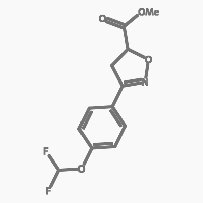 COC(=O)C1CC(c2ccc(OC(F)F)cc2)=NO1